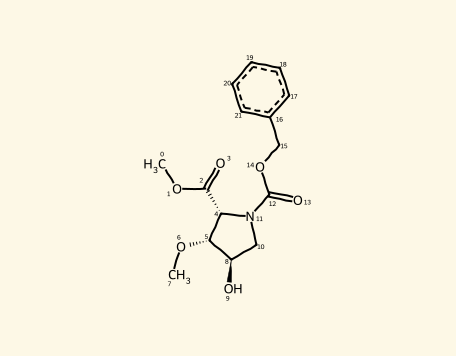 COC(=O)[C@H]1[C@@H](OC)[C@H](O)CN1C(=O)OCc1ccccc1